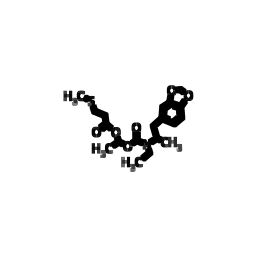 CCN(C(=O)OC(C)OC(=O)CCSC)C(C)Cc1ccc2c(c1)OCO2